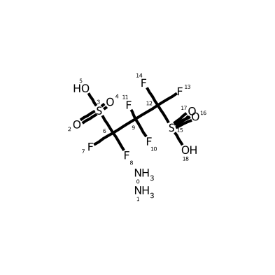 N.N.O=S(=O)(O)C(F)(F)C(F)(F)C(F)(F)S(=O)(=O)O